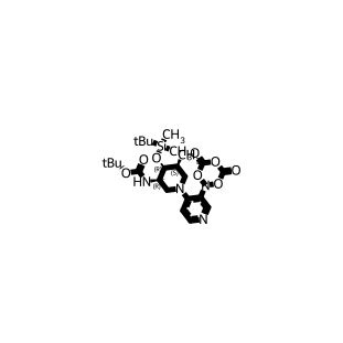 C[C@H]1CN(c2ccncc2N2OC(=O)OC(=O)O2)C[C@@H](NC(=O)OC(C)(C)C)[C@@H]1O[Si](C)(C)C(C)(C)C